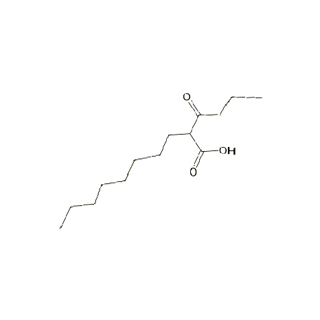 CCCCCCCCC(C(=O)O)C(=O)CCC